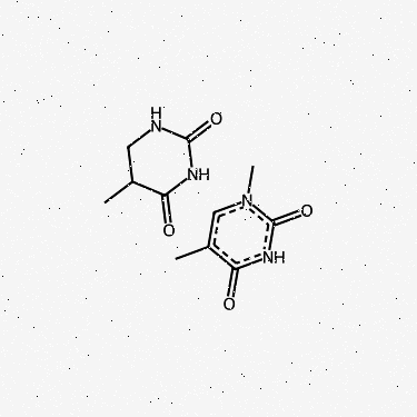 CC1CNC(=O)NC1=O.Cc1cn(C)c(=O)[nH]c1=O